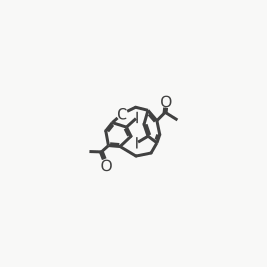 CC(=O)c1cc2c(I)cc1CCc1cc(C(C)=O)c(cc1I)CC2